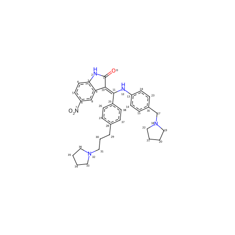 O=C1Nc2ccc([N+](=O)[O-])cc2/C1=C(/Nc1ccc(CN2CCCC2)cc1)c1ccc(CCCN2CCCC2)cc1